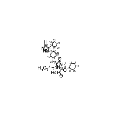 CCCCc1nn(CC(OCC(=O)O)c2ccccc2)c(=O)n1Cc1ccc(-c2ccccc2-c2nnn[nH]2)cc1